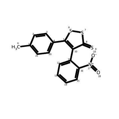 Cc1ccc(-c2ssc(=S)c2-c2ccccc2[N+](=O)[O-])cc1